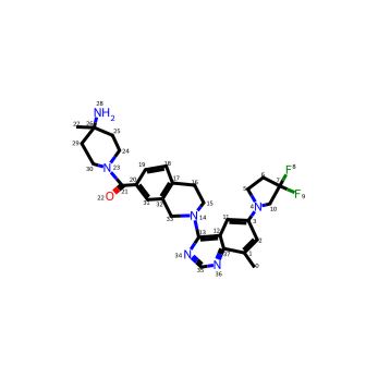 Cc1cc(N2CCC(F)(F)C2)cc2c(N3CCc4ccc(C(=O)N5CCC(C)(N)CC5)cc4C3)ncnc12